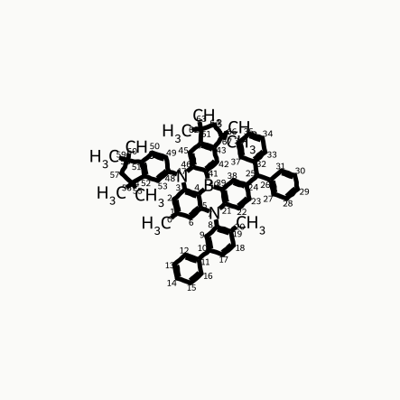 Cc1cc2c3c(c1)N(c1cc(-c4ccccc4)ccc1C)c1ccc(C(c4ccccc4)c4ccccc4)cc1B3c1cc3c(cc1N2c1ccc2c(c1)C(C)(C)CC2(C)C)C(C)(C)CC3(C)C